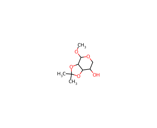 COC1OCC(O)C2OC(C)(C)OC12